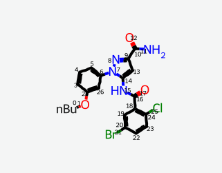 CCCCOc1cccc(-n2nc(C(N)=O)cc2NC(=O)c2cc(Br)ccc2Cl)c1